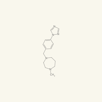 CN1CCCN(Cc2ccc(-n3cncn3)cc2)CC1